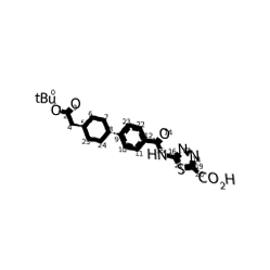 CC(C)(C)OC(=O)C[C@H]1CC[C@H](c2ccc(C(=O)Nc3nnc(C(=O)O)s3)cc2)CC1